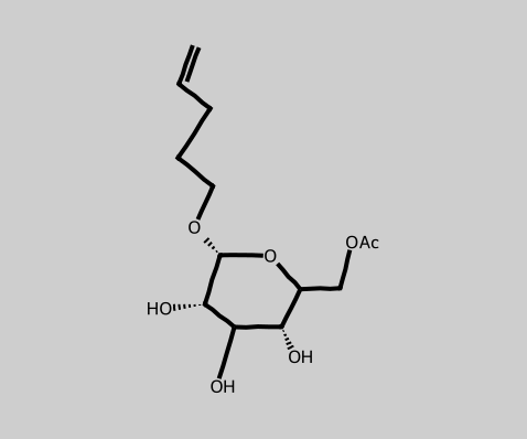 C=CCCCO[C@@H]1OC(COC(C)=O)[C@H](O)C(O)[C@@H]1O